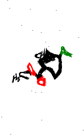 C.COC(=O)c1ccc(Br)cc1